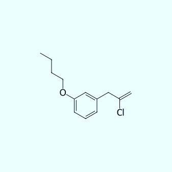 C=C(Cl)Cc1cccc(OCCCC)c1